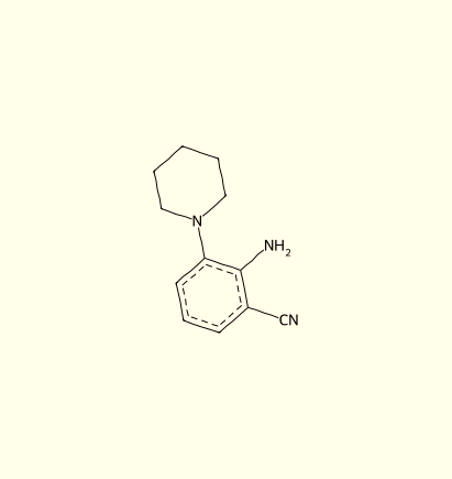 N#Cc1cccc(N2CCCCC2)c1N